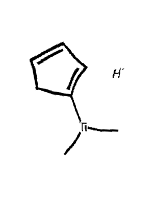 [CH3][Ti]([CH3])[C]1=CC=CC1.[H-]